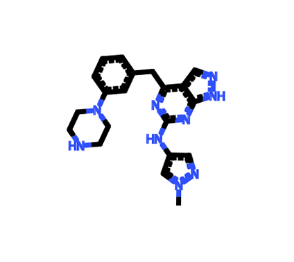 Cn1cc(Nc2nc(Cc3cccc(N4CCNCC4)c3)c3cn[nH]c3n2)cn1